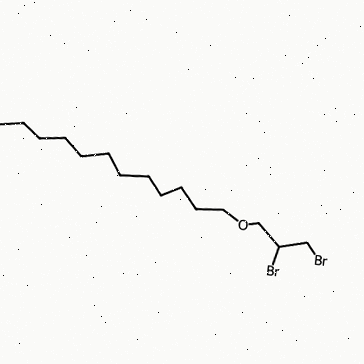 CCCCCCCCCCCCOCC(Br)CBr